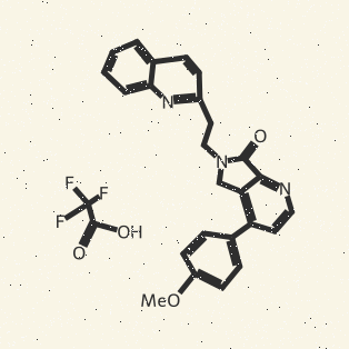 COc1ccc(-c2ccnc3c2CN(CCc2ccc4ccccc4n2)C3=O)cc1.O=C(O)C(F)(F)F